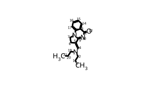 CCCN(/C=C1\CCn2c1nc(=O)c1ccccc12)CCC